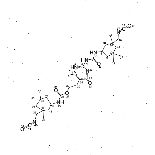 Cc1[nH]c(NC(=O)NC2CC(C)(C)CC(C)(CN=C=O)C2)nc(=O)c1CCOC(=O)NC1CC(C)(C)CC(C)(CN=C=O)C1